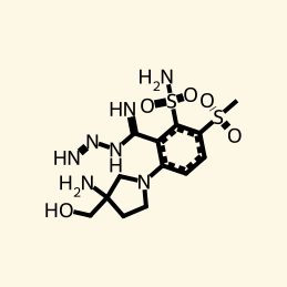 CS(=O)(=O)c1ccc(N2CCC(N)(CO)C2)c(C(=N)NN=N)c1S(N)(=O)=O